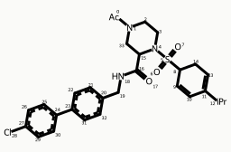 CC(=O)N1CCN(S(=O)(=O)C2C=CC(C(C)C)=CC2)C(C(=O)NCc2ccc(-c3ccc(Cl)cc3)cc2)C1